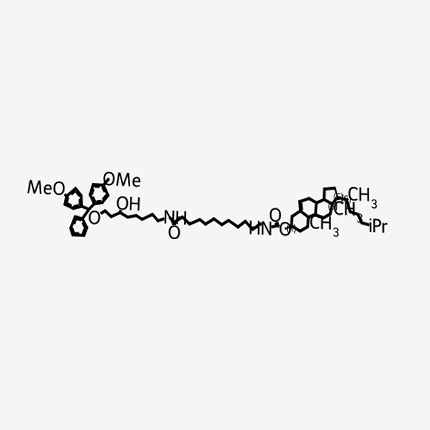 COc1ccc(C(OCCC(O)CCCCCNC(=O)CCCCCCCCCCCNC(=O)O[C@@H]2CCC3(C)C(=CCC4C3CC[C@]3(C)C4CC[C@H]3[C@@H](C)CCCC(C)C)C2)(c2ccccc2)c2ccc(OC)cc2)cc1